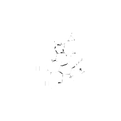 C=CC1=C(OC)C(C(=O)c2cnn(C3CC3)c2OC)=CC(=S(=O)=O)C1C